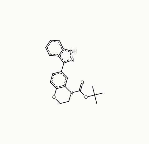 CC(C)(C)OC(=O)N1CCOc2ccc(-c3n[nH]c4ccccc34)cc21